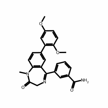 COc1ccc(OC)c(-c2ccc3c(c2)C(c2cccc(C(N)=O)c2)=NCC(=O)N3C)c1